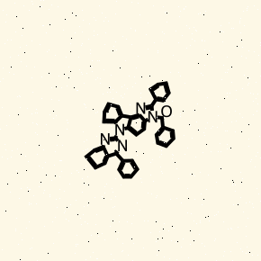 O=C(c1ccccc1)n1c(-c2ccccc2)nc2c3c4ccccc4n(-c4nc(-c5ccccc5)c5ccccc5n4)c3ccc21